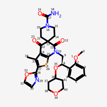 COc1ccccc1[C@H](CN1C(=O)C2(CCN(C(N)=O)CC2)C(=O)c2c1sc(-c1ncco1)c2C)OC1CCOCC1